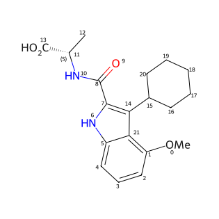 COc1cccc2[nH]c(C(=O)N[C@@H](C)C(=O)O)c(C3CCCCC3)c12